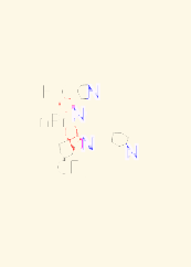 CCC[C@H]1N(C(=O)c2cnccc2C(F)(F)F)CCC[C@@]1(Oc1ccc(C(F)(F)F)cc1)C(=O)N1CCC(c2cccc(N(C)C)c2)C1